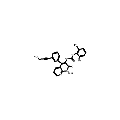 CCCCn1c(=O)c(NC(=O)Nc2c(C(C)C)cccc2C(C)C)c(-c2cccc(C#CCO)c2)c2cccnc21